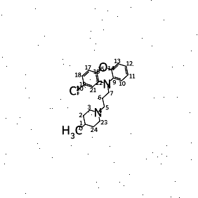 CC1CCN(CCCN2c3ccccc3Oc3ccc(Cl)cc32)CC1